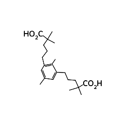 Cc1cc(CCCC(C)(C)C(=O)O)c(C)c(CCCC(C)(C)C(=O)O)c1